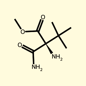 COC(=O)[C@@](N)(C(N)=O)C(C)(C)C